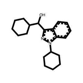 OC(c1nn(C2CCCCC2)c2ccccc12)C1CCCCC1